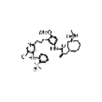 C=C(CC1CCCCN(S(C)(=O)=O)CC1)C(=O)Nc1ccc(OC)c(CCCc2ncc(Cl)c(Nc3ccccc3P(C)(C)=O)n2)c1